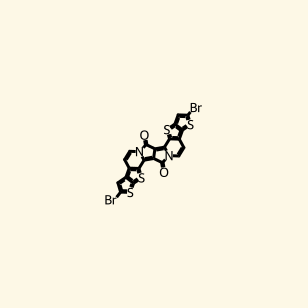 O=C1C2=C3c4sc5cc(Br)sc5c4C=CN3C(=O)C2=C2c3sc4sc(Br)cc4c3C=CN12